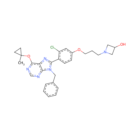 CC1(Oc2ncnc3c2nc(-c2ccc(OCCCN4CC(O)C4)cc2Cl)n3Cc2ccccc2)CC1